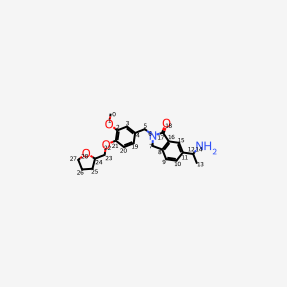 COc1cc(CN2Cc3ccc(C(C)N)cc3C2=O)ccc1OCC1CCCO1